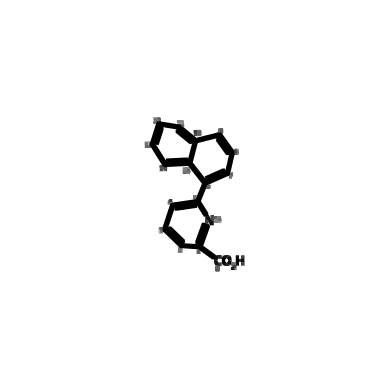 O=C(O)c1cccc(-c2cccc3ccccc23)n1